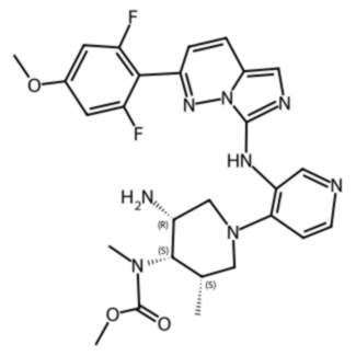 COC(=O)N(C)[C@@H]1[C@H](N)CN(c2ccncc2Nc2ncc3ccc(-c4c(F)cc(OC)cc4F)nn23)C[C@@H]1C